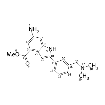 COC(=O)c1cc(N)cc2[nH]c(-c3cccc(CN(C)C)c3)cc12